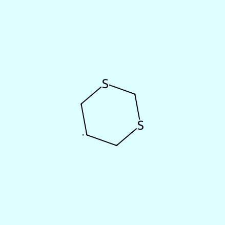 [CH]1CSCSC1